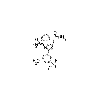 Cc1cc(-c2ncn(/C=C(/C(N)=O)c3cccc(S(=O)(=O)N4CCC4)c3)n2)cc(C(F)(F)F)c1